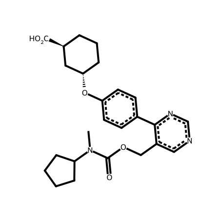 CN(C(=O)OCc1cncnc1-c1ccc(O[C@H]2CCC[C@H](C(=O)O)C2)cc1)C1CCCC1